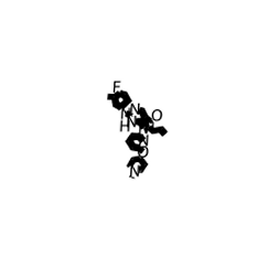 C=CCn1c(=O)c2cnc(Nc3ccc(F)c(C)c3)nc2n1-c1cccc(OC2CCN(C)CC2)n1